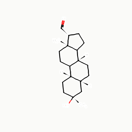 C[C@@]1(O)CC[C@@H]2C3CC[C@@]4(C)C(CC[C@@H]4C=O)[C@@H]3CC[C@@H]2C1